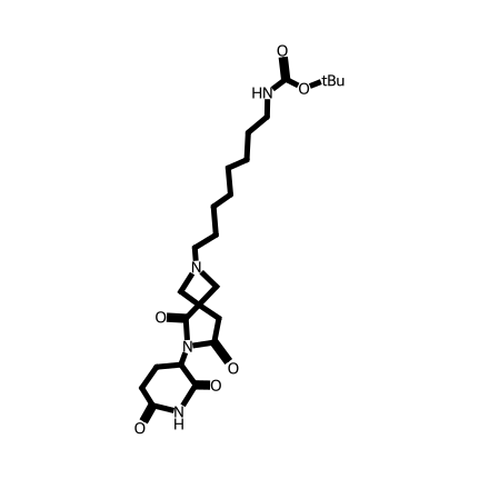 CC(C)(C)OC(=O)NCCCCCCCCN1CC2(CC(=O)N(C3CCC(=O)NC3=O)C2=O)C1